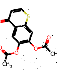 CC(=O)Oc1cc2sccc(=O)c2cc1OC(C)=O